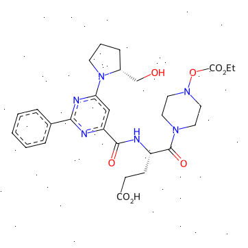 CCOC(=O)ON1CCN(C(=O)[C@H](CCC(=O)O)NC(=O)c2cc(N3CCC[C@@H]3CO)nc(-c3ccccc3)n2)CC1